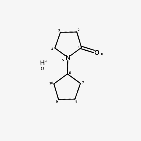 O=C1CCCN1C1CCCC1.[H+]